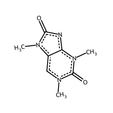 Cn1cc2n(C)c(=O)nc-2n(C)c1=O